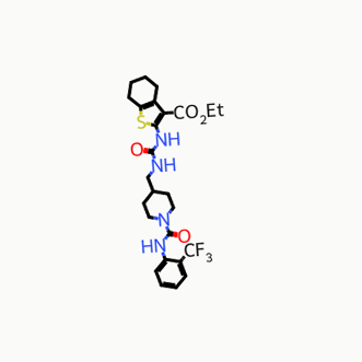 CCOC(=O)c1c(NC(=O)NCC2CCN(C(=O)Nc3ccccc3C(F)(F)F)CC2)sc2c1CCCC2